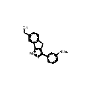 CC(=O)Nc1cccc(-c2n[nH]c3c2Cc2ccc(CO)cc2-3)c1